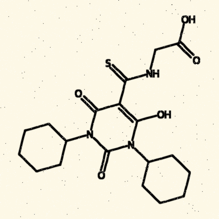 O=C(O)CNC(=S)c1c(O)n(C2CCCCC2)c(=O)n(C2CCCCC2)c1=O